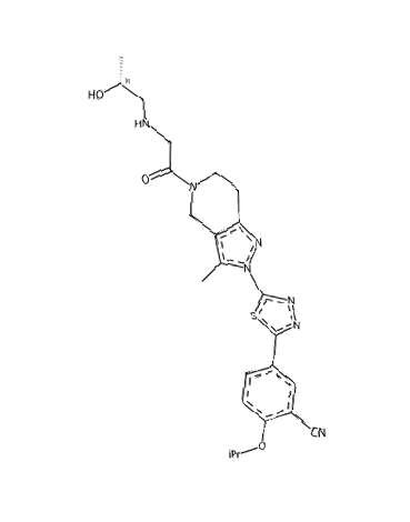 Cc1c2c(nn1-c1nnc(-c3ccc(OC(C)C)c(C#N)c3)s1)CCN(C(=O)CNC[C@@H](C)O)C2